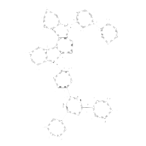 c1ccc(-c2cccc(-n3c4ccccc4c4c5c6ccccc6n(-c6ccc(-c7nc(-c8ccccc8)cc(-c8ccccc8)n7)cc6)c5ccc43)c2)cc1